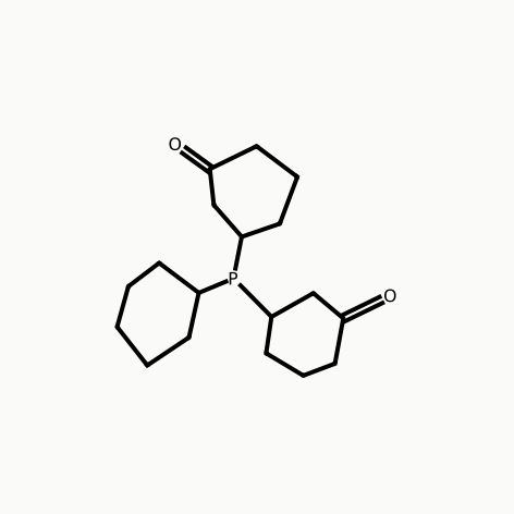 O=C1CCCC(P(C2CCCCC2)C2CCCC(=O)C2)C1